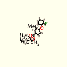 COc1cccc(F)c1Oc1ccc(B2OC(C)(C)C(C)(C)O2)cc1